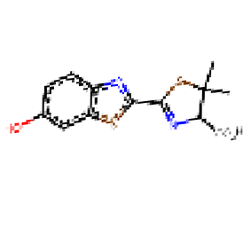 CC1(C)SC(c2nc3ccc(O)cc3s2)=NC1C(=O)O